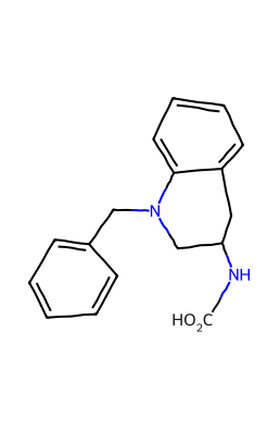 O=C(O)NC1Cc2ccccc2N(Cc2ccccc2)C1